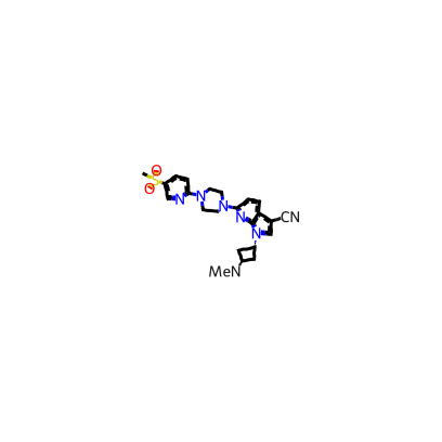 CN[C@H]1C[C@H](n2cc(C#N)c3ccc(N4CCN(c5ccc(S(C)(=O)=O)cn5)CC4)nc32)C1